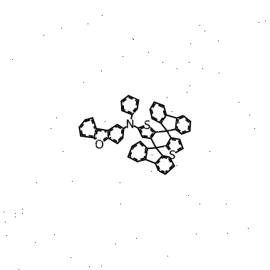 c1ccc(N(c2ccc3oc4ccccc4c3c2)c2cc3c(s2)C2(c4ccccc4-c4ccccc42)c2ccsc2C32c3ccccc3-c3ccccc32)cc1